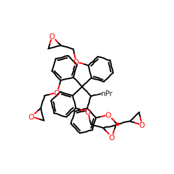 CCCC(c1ccccc1OCC1CO1)C(c1ccccc1OCC1CO1)(c1ccccc1OCC1CO1)c1ccccc1OCC1CO1